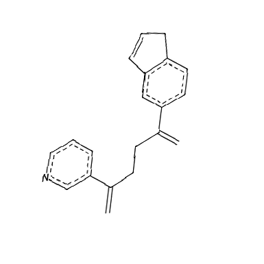 C=C(CCC(=C)c1ccc2c(c1)C=CC2)c1cccnc1